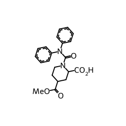 COC(=O)C1CCN(C(=O)N(c2ccccc2)c2ccccc2)C(C(=O)O)C1